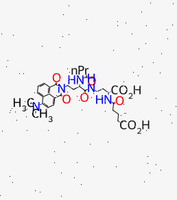 CCCC(=O)N[C@H](CCN1C(=O)c2cccc3c(N(C)C)ccc(c23)C1=O)C(=O)NCC[C@@H](NC(=O)CCCC(=O)O)C(=O)O